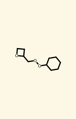 C1CCC(OOCC2CCO2)CC1